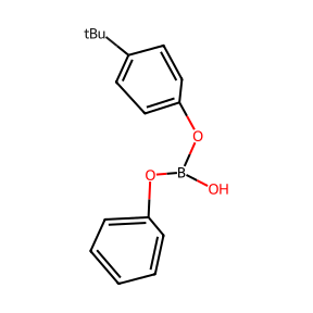 CC(C)(C)c1ccc(OB(O)Oc2ccccc2)cc1